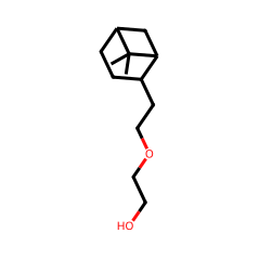 CC1(C)C2CCC(CCOCCO)C1C2